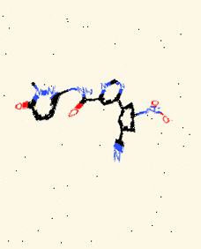 Cn1nc(NC(=O)c2cc(-c3cc(C#N)cc([N+](=O)[O-])c3)ncn2)ccc1=O